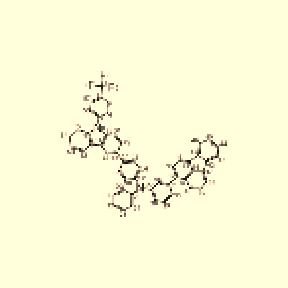 FC(F)(F)c1ccc(-n2c3c(c4cc(-c5ccc6c(c5)c5ccccc5n6-c5cccc(-c6ccc7c8c(cccc68)-c6ccccc6-7)c5)ccc42)C=CCC3)cc1